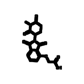 CN1C(=O)CCC(N2C(=O)c3cccc(OCC(=O)O)c3C2=O)C1=O